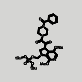 COc1cnc(OC)c2c1C(C(=O)C(=O)N1CCN(C(=O)c3ccccc3)CC1)CN2COP(=O)(OC(C)(C)C)OC(C)(C)C